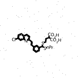 CCCSC(SCCC(C(=O)O)C(=O)O)c1cccc(C=Cc2ccc3ccc(Cl)cc3n2)c1